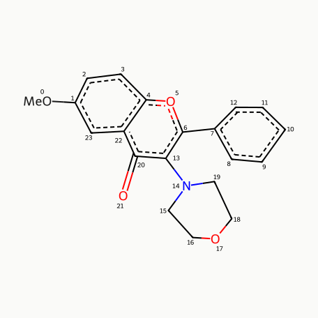 COc1ccc2oc(-c3ccccc3)c(N3CCOCC3)c(=O)c2c1